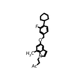 CC(=O)CCn1ccc2cc(OCc3ccc(C4CCCCC4)c(F)c3)cc(C)c21